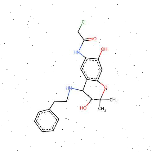 CC1(C)Oc2cc(O)c(NC(=O)CCl)cc2C(NCCc2ccccc2)C1O